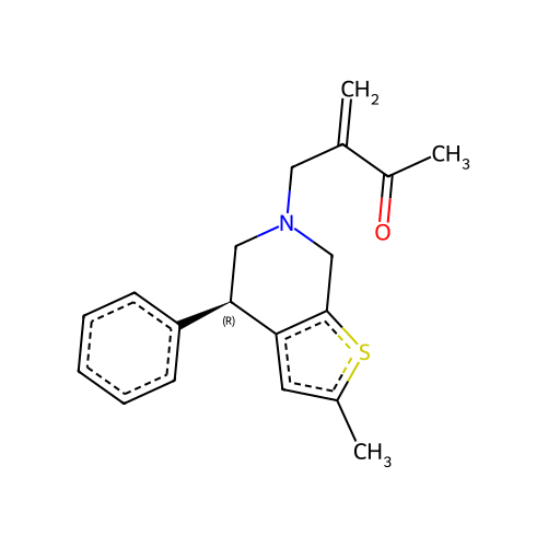 C=C(CN1Cc2sc(C)cc2[C@@H](c2ccccc2)C1)C(C)=O